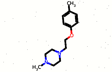 Cc1c[c]c(OCCN2CCN(C)CC2)cc1